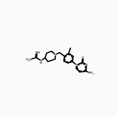 Cc1cc(-n2ccc(N)nc2=O)ccc1CN1CCC(NC(=N)N)CC1